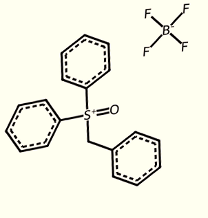 F[B-](F)(F)F.O=[S+](Cc1ccccc1)(c1ccccc1)c1ccccc1